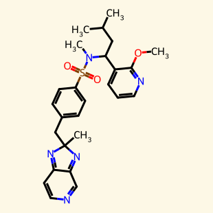 COc1ncccc1C(CC(C)C)N(C)S(=O)(=O)c1ccc(CC2(C)N=c3ccncc3=N2)cc1